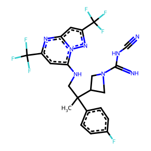 CC(CNc1cc(C(F)(F)F)nc2cc(C(F)(F)F)nn12)(c1ccc(F)cc1)C1CN(C(=N)NC#N)C1